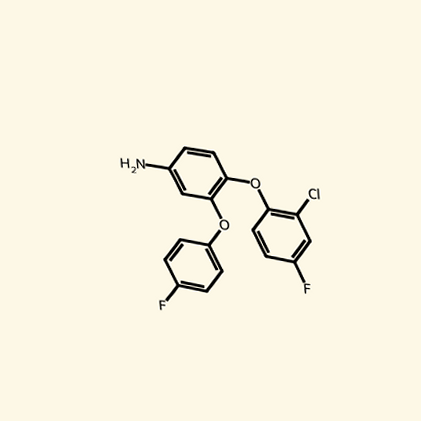 Nc1ccc(Oc2ccc(F)cc2Cl)c(Oc2ccc(F)cc2)c1